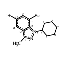 Cc1nn(C2CCCCC2)c2c(F)cc(F)cc12